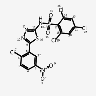 O=[N+]([O-])c1ccc(Cl)c(-c2nnc(NS(=O)(=O)c3c(Cl)cc(Cl)cc3Cl)s2)c1